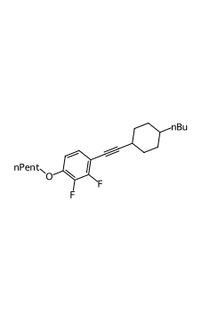 CCCCCOc1ccc(C#CC2CCC(CCCC)CC2)c(F)c1F